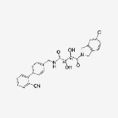 N#Cc1ccccc1-c1ccc(CNC(=O)[C@H](O)[C@@H](O)C(=O)N2Cc3ccc(Cl)cc3C2)cc1